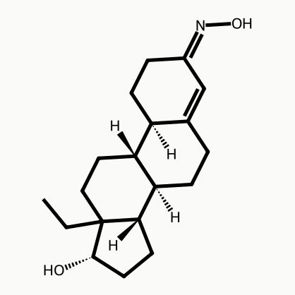 CCC12CC[C@H]3[C@@H](CCC4=CC(=NO)CC[C@@H]43)[C@@H]1CC[C@@H]2O